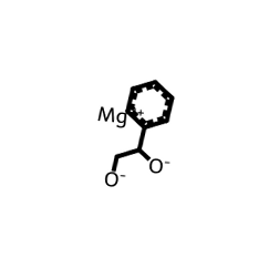 [Mg+2].[O-]CC([O-])c1ccccc1